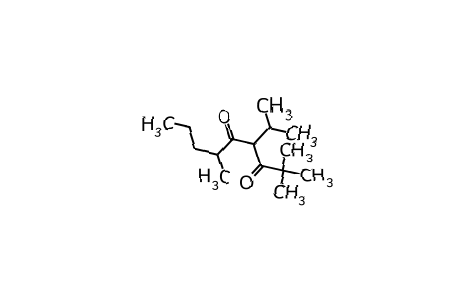 CCCC(C)C(=O)C(C(=O)C(C)(C)C)C(C)C